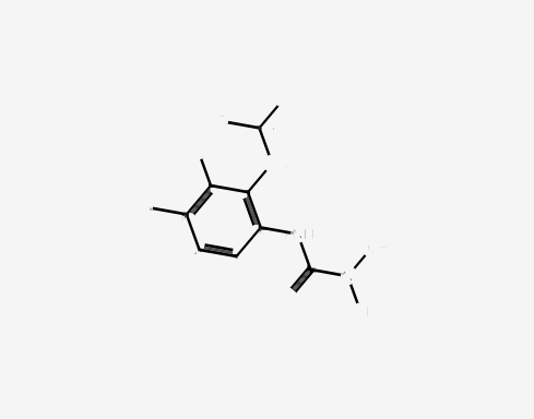 CN(C)C(=O)Nc1ccc(Cl)c(Cl)c1SC(F)F